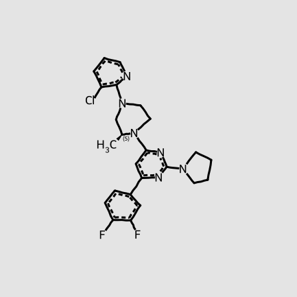 C[C@H]1CN(c2ncccc2Cl)CCN1c1cc(-c2ccc(F)c(F)c2)nc(N2CCCC2)n1